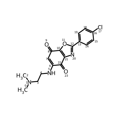 CN(C)CCNC1=CC(=O)c2oc(-c3ccc(Cl)cc3)nc2C1=O